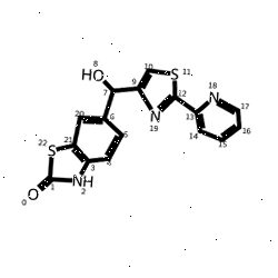 O=c1[nH]c2ccc(C(O)c3csc(-c4ccccn4)n3)cc2s1